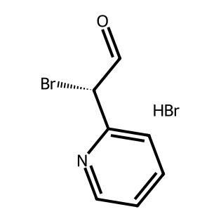 Br.O=C[C@@H](Br)c1ccccn1